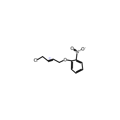 O=[N+]([O-])c1ccccc1OC/C=C/CCl